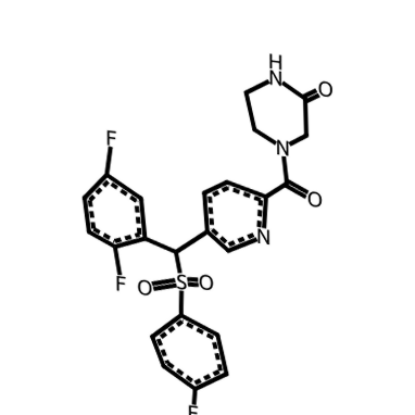 O=C1CN(C(=O)c2ccc(C(c3cc(F)ccc3F)S(=O)(=O)c3ccc(F)cc3)cn2)CCN1